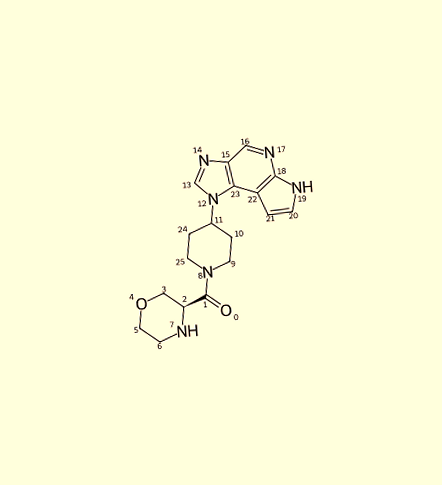 O=C([C@@H]1COCCN1)N1CCC(n2cnc3cnc4[nH]ccc4c32)CC1